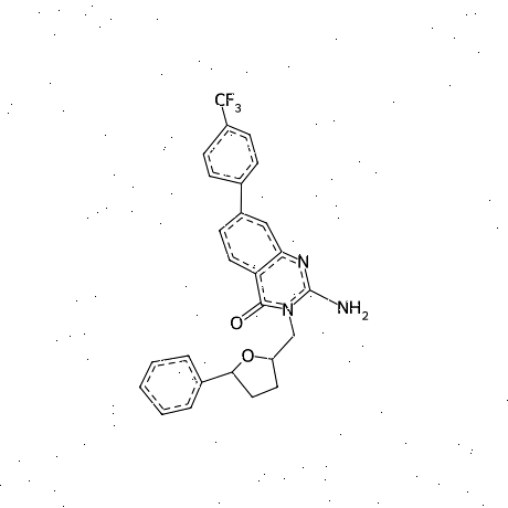 Nc1nc2cc(-c3ccc(C(F)(F)F)cc3)ccc2c(=O)n1CC1CCC(c2ccccc2)O1